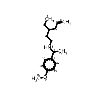 C=CCC(CC)CCNC(C)c1ccc(OC)cc1